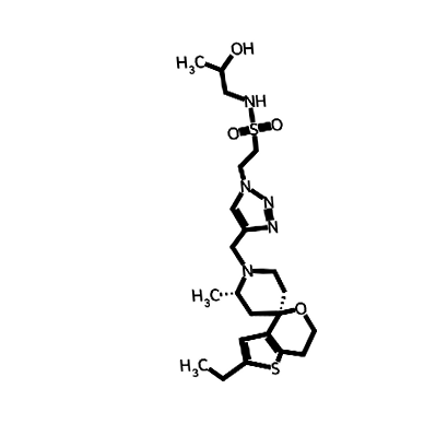 CCc1cc2c(s1)CCO[C@@]21CCN(Cc2cn(CCS(=O)(=O)NCC(C)O)nn2)[C@@H](C)C1